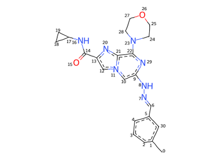 Cc1cccc(/C=N/Nc2cn3cc(C(=O)NC4CC4)nc3c(N3CCOCC3)n2)c1